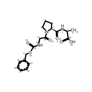 C[C@H](NC(=O)[C@@H]1CCCN1C(=O)CNC(=O)OCc1ccccc1)C(=O)O